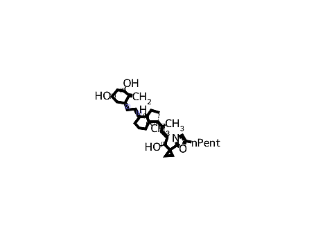 C=C1/C(=C\C=C2/CCC[C@]3(C)[C@@H]([C@@H](C)C=C[C@@H](O)C4(c5ncc(CCCCC)o5)CC4)CC[C@@H]23)C[C@@H](O)C[C@@H]1O